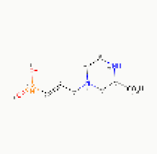 O=C(O)C1CN(CC=C[PH](=O)O)CCN1